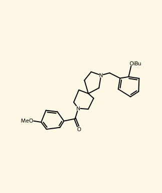 COc1ccc(C(=O)N2CCC3(CCN(Cc4ccccc4OCC(C)C)C3)CC2)cc1